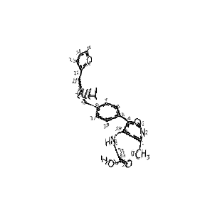 Cc1noc(-c2ccc(CNCc3ccco3)cc2)c1NC(=O)O